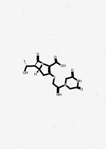 C[C@@H](O)[C@H]1C(=O)N2C(C(=O)O)=C(SCC(=N)N3CC(=O)NC(=O)C3)C[C@H]12